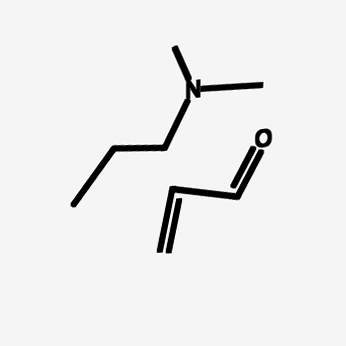 C=CC=O.CCCN(C)C